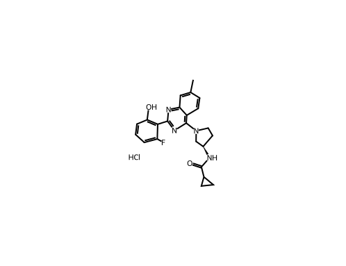 Cc1ccc2c(N3CC[C@@H](NC(=O)C4CC4)C3)nc(-c3c(O)cccc3F)nc2c1.Cl